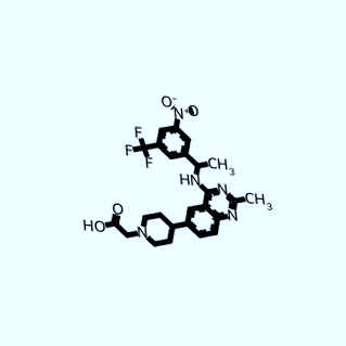 Cc1nc(NC(C)c2cc([N+](=O)[O-])cc(C(F)(F)F)c2)c2cc(C3CCN(CC(=O)O)CC3)ccc2n1